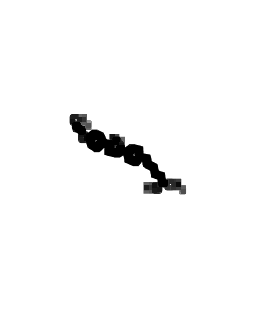 C=CCOc1ccc(-c2ccc(-c3ccc(C=CCCCC(C)O)cc3)nn2)cc1